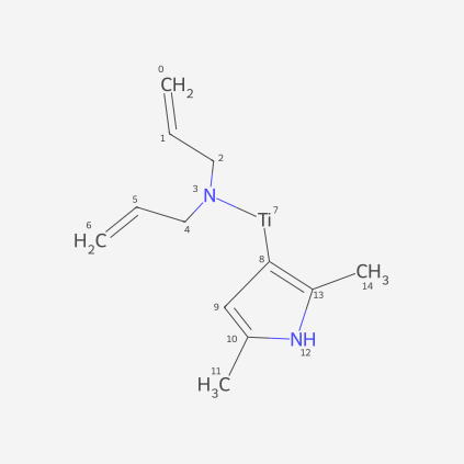 C=CC[N](CC=C)[Ti][c]1cc(C)[nH]c1C